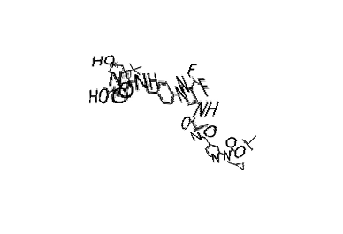 CC(C)(C)OC(=O)N(CC1CC1)c1cc(-c2nc(C(=O)Nc3cn(-c4ccc(CNC(=O)[C@@]5(C(C)(C)C)C[C@@H](O)CN5C(=O)O)cc4)nc3C(F)F)co2)ccn1